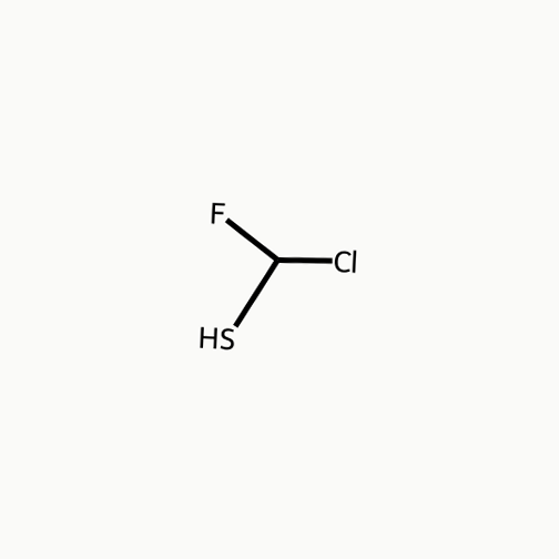 FC(S)Cl